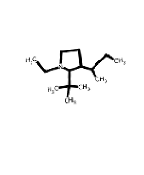 CCC(C)C1CCN(CC)C1C(C)(C)C